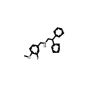 COc1ccc(CNCC(c2ccccc2)c2ccccc2)cc1F